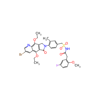 CCOc1c2c(c(OCC)c3ncc(Br)cc13)CN(c1ccc(CS(=O)(=O)NC(=O)Cc3cc(I)ccc3OC)cc1C)C2=O